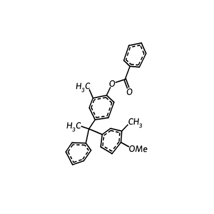 COc1ccc(C(C)(c2ccccc2)c2ccc(OC(=O)c3ccccc3)c(C)c2)cc1C